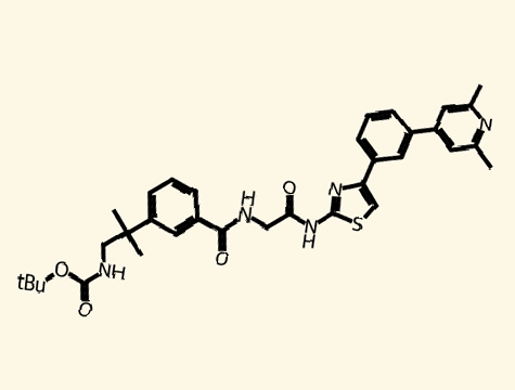 Cc1cc(-c2cccc(-c3csc(NC(=O)CNC(=O)c4cccc(C(C)(C)CNC(=O)OC(C)(C)C)c4)n3)c2)cc(C)n1